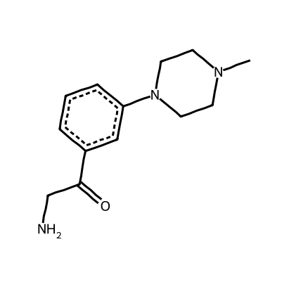 CN1CCN(c2cccc(C(=O)CN)c2)CC1